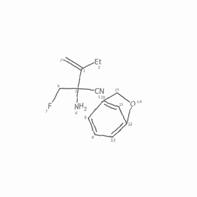 C=C(CC)C(N)(C#N)CF.c1cc2cc(c1)OC2